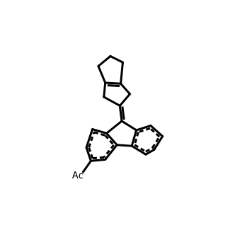 CC(=O)c1ccc2c(c1)-c1ccccc1C2=C1CC2=C(CCC2)C1